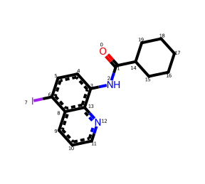 O=C(Nc1ccc(I)c2cccnc12)C1CCCCC1